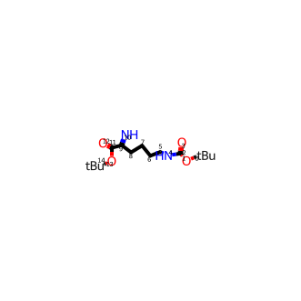 CC(C)(C)OC(=O)NCCCCC(=N)C(=O)OC(C)(C)C